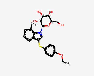 CCOc1ccc(Sc2cn([C@@H]3O[C@H](CO)[C@@H](O)[C@H](O)[C@H]3O)c3c(C)cccc23)cc1